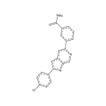 CNC(=O)c1cccc(-c2cc3cc(-c4ccc(Cl)cc4)nn3cn2)c1